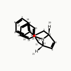 C1=C[C@H]2CN(c3ccccc3)C[C@@H]1N2c1ccccc1